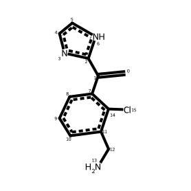 C=C(c1ncc[nH]1)c1cccc(CN)c1Cl